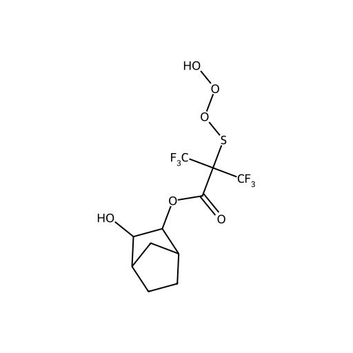 O=C(OC1C2CCC(C2)C1O)C(SOOO)(C(F)(F)F)C(F)(F)F